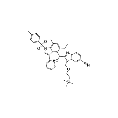 CCc1cc(C)c2c(c(-c3ccccc3)cn2S(=O)(=O)c2ccc(C)cc2)c1C(O)c1nc2ccc(C#N)cc2n1COCC[Si](C)(C)C